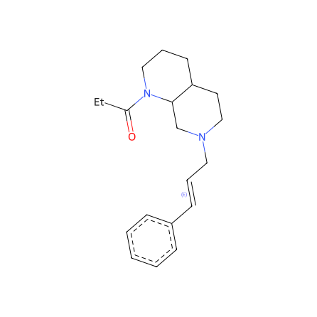 CCC(=O)N1CCCC2CCN(C/C=C/c3ccccc3)CC21